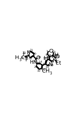 CCN1C(=O)[C@@H]2COCC[C@H]2c2cc(-c3cc(NC(=O)c4ccnc(C(C)(F)F)c4)ccc3C)cnc21